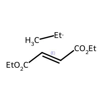 CCOC(=O)/C=C/C(=O)OCC.C[CH]C